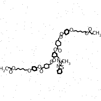 C=CC(=O)OCCCCCCOc1ccc(OOCC2CCC(C(=O)Oc3ccc(OOCC4CCC(C(=O)Oc5ccc(OCCCCCCOC(=O)C=C)cc5)CC4)c(/C=N/N(C)c4nc5ccccc5s4)c3)CC2)cc1